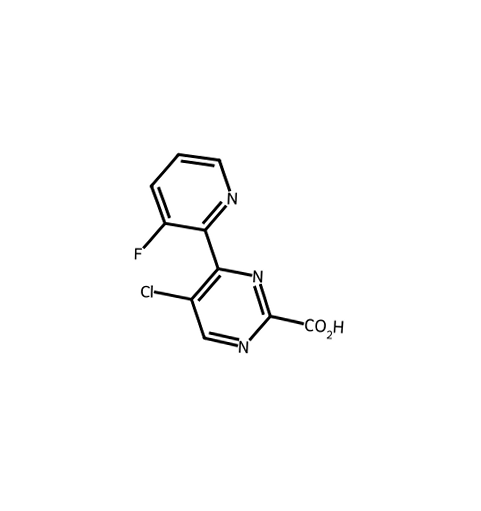 O=C(O)c1ncc(Cl)c(-c2ncccc2F)n1